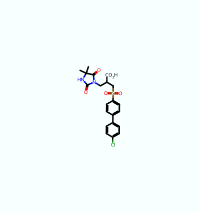 CC1(C)NC(=O)N(CC(CS(=O)(=O)c2ccc(-c3ccc(Cl)cc3)cc2)C(=O)O)C1=O